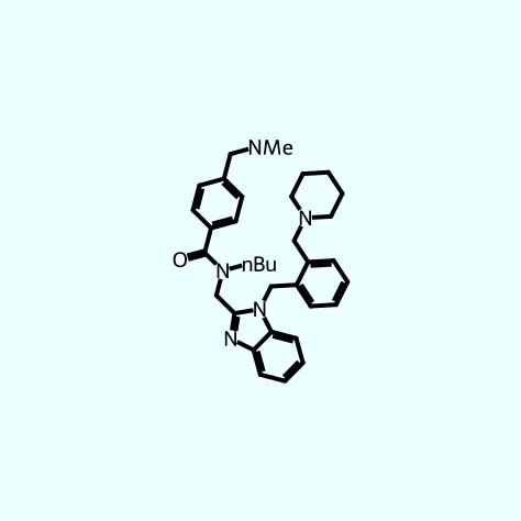 CCCCN(Cc1nc2ccccc2n1Cc1ccccc1CN1CCCCC1)C(=O)c1ccc(CNC)cc1